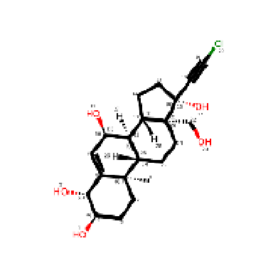 C[C@]12CC[C@@H](O)[C@H](O)C1=C[C@@H](O)[C@H]1[C@@H]3CC[C@@](O)(C#CCl)[C@@]3(CO)CC[C@@H]12